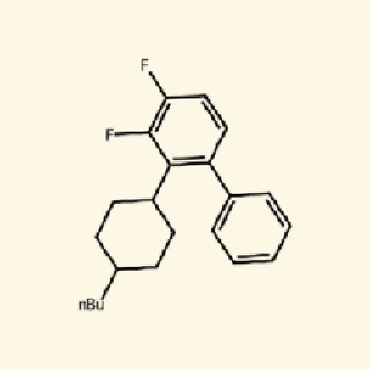 CCCCC1CCC(c2c(-c3ccccc3)ccc(F)c2F)CC1